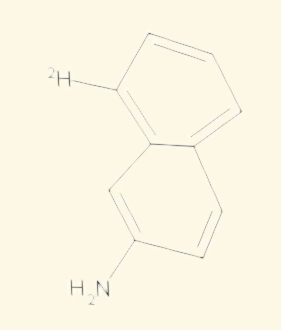 [2H]c1cccc2ccc(N)cc12